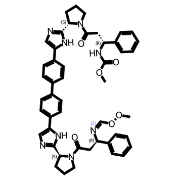 COO/C=N\[C@H](CC(=O)N1CCC[C@H]1c1ncc(-c2ccc(-c3ccc(-c4cnc([C@@H]5CCCN5C(=O)C[C@@H](NC(=O)OC)c5ccccc5)[nH]4)cc3)cc2)[nH]1)c1ccccc1